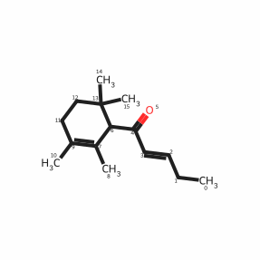 CCC=CC(=O)C1C(C)=C(C)CCC1(C)C